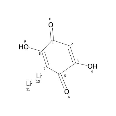 O=C1C=C(O)C(=O)C=C1O.[Li].[Li]